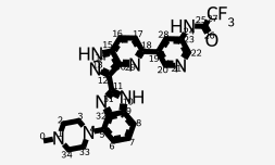 CN1CCN(c2cccc3[nH]c(-c4n[nH]c5ccc(-c6cncc(NC(=O)C(F)(F)F)c6)nc45)nc23)CC1